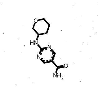 NC(=O)c1cnc(NC2CCCOC2)nc1